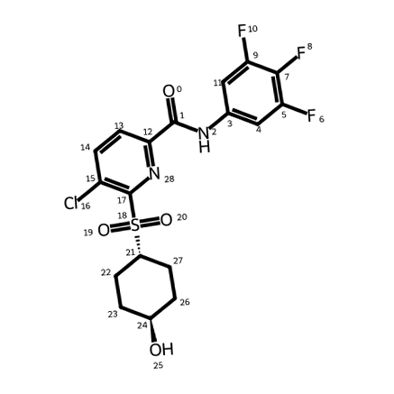 O=C(Nc1cc(F)c(F)c(F)c1)c1ccc(Cl)c(S(=O)(=O)[C@H]2CC[C@H](O)CC2)n1